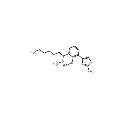 CCCCCC[C@H](OC)c1cccc(-c2csc(N)n2)c1OC